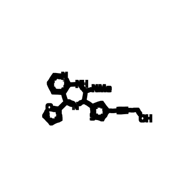 CNC1Nc2ncccc2C(c2ccco2)=NC1c1cc(C#CCO)cs1